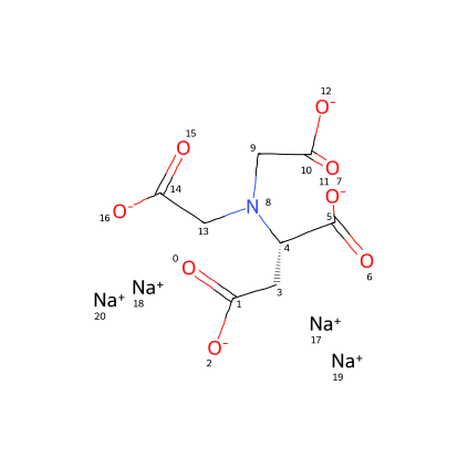 O=C([O-])C[C@@H](C(=O)[O-])N(CC(=O)[O-])CC(=O)[O-].[Na+].[Na+].[Na+].[Na+]